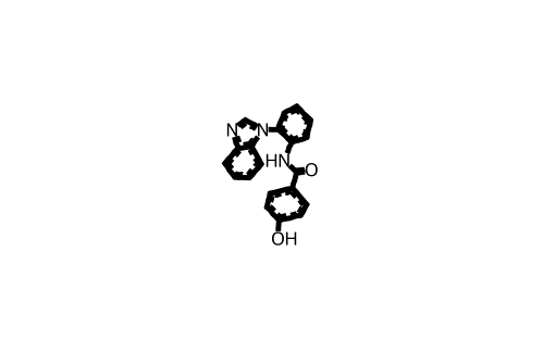 O=C(Nc1ccccc1-n1cnc2ccccc21)c1ccc(O)cc1